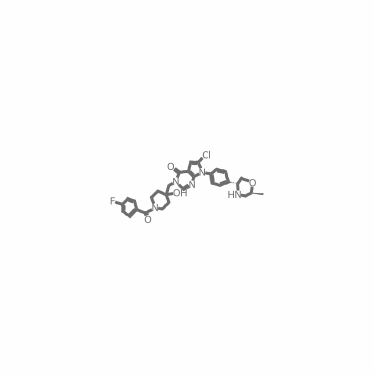 C[C@H]1CN[C@H](c2ccc(-n3c(Cl)cc4c(=O)n(CC5(O)CCN(C(=O)c6ccc(F)cc6)CC5)cnc43)cc2)CO1